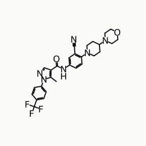 Cc1c(C(=O)Nc2ccc(N3CCC(N4CCOCC4)CC3)c(C#N)c2)cnn1-c1ccc(C(F)(F)F)cc1